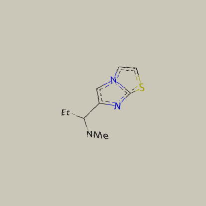 CCC(NC)c1cn2ccsc2n1